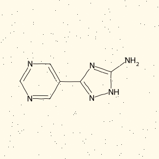 Nc1nc(-c2cncnc2)n[nH]1